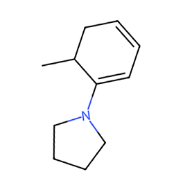 CC1CC=CC=C1N1CCCC1